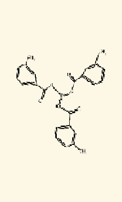 Cc1cccc(C(=O)OP(OC(=O)c2cccc(C)c2)OC(=O)c2cccc(C)c2)c1